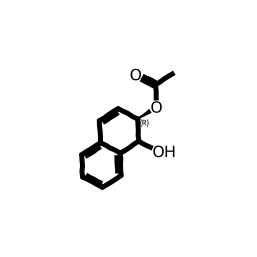 CC(=O)O[C@@H]1C=Cc2ccccc2C1O